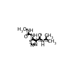 CNC(=O)Nc1snnc1C(=O)NC(C)C